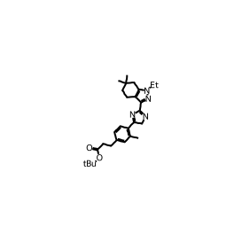 CCn1nc(C2=NCC(c3ccc(CCC(=O)OC(C)(C)C)cc3C)=N2)c2c1CC(C)(C)CC2